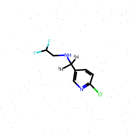 [2H]C([2H])(NCC(F)F)c1ccc(Cl)nc1